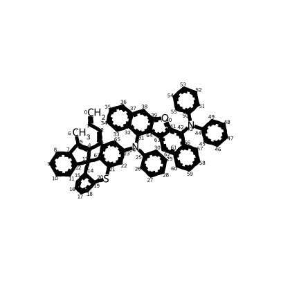 C=C/C=C\C1=C(C)c2ccccc2C12c1ccccc1Sc1cc(N(c3ccccc3)c3c4ccccc4cc4oc5c(N(c6ccccc6)c6ccccc6)c6ccccc6cc5c34)ccc12